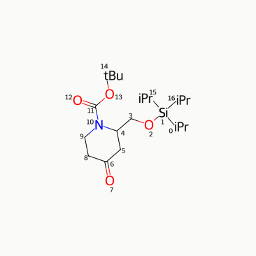 CC(C)[Si](OCC1CC(=O)CCN1C(=O)OC(C)(C)C)(C(C)C)C(C)C